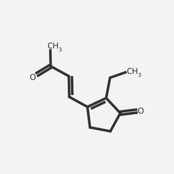 CCC1=C(C=CC(C)=O)CCC1=O